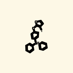 Ic1ccoc1Oc1ccc([SH](c2ccccc2)c2ccccc2)cc1